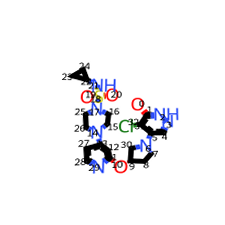 O=c1[nH]ncc(N2CC[C@@H](Oc3cc(N4CCN(S(=O)(=O)NC5CC5)CC4)ccn3)C2)c1Cl